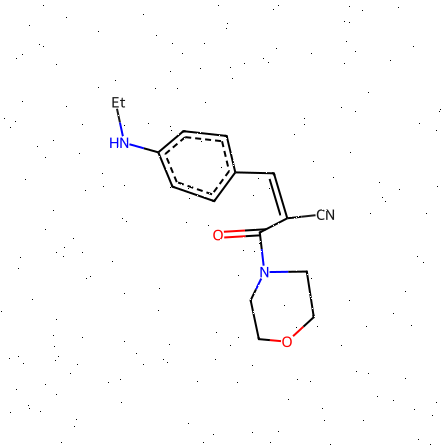 CCNc1ccc(C=C(C#N)C(=O)N2CCOCC2)cc1